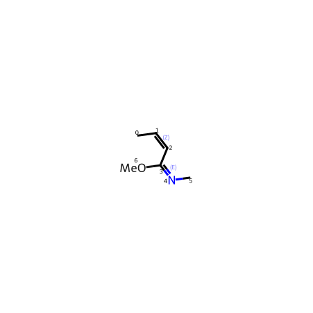 C/C=C\C(=N/C)OC